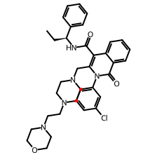 CC[C@H](NC(=O)c1c(CN2CCN(CCN3CCOCC3)CC2)n(-c2cccc(Cl)c2)c(=O)c2ccccc12)c1ccccc1